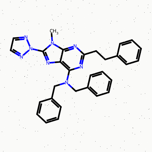 Cn1c(-n2nccn2)nc2c(N(Cc3ccccc3)Cc3ccccc3)nc(CCc3ccccc3)nc21